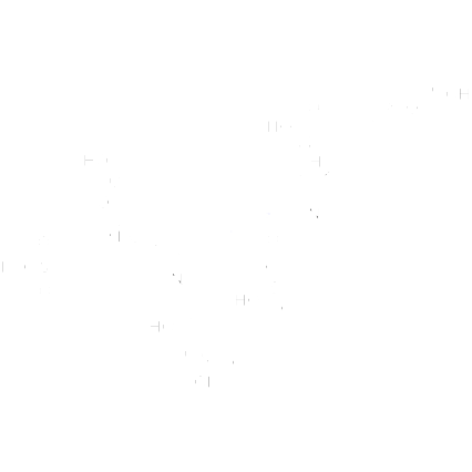 CC12CCC(/C=C/C=C3\CCC4(C)C3=[N+](CC(O)CS(=O)(=O)O)c3ccc5cc(SOOO)cc(S(=O)(=O)O)c5c34)=C1N(CC(O)CS(=O)(=O)O)c1ccc3cc(S(=O)(=O)O)cc(SOOO)c3c12